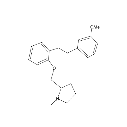 COc1cccc(CCc2ccccc2OCC2CCCN2C)c1